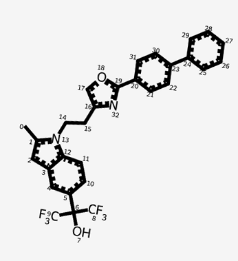 Cc1cc2cc(C(O)(C(F)(F)F)C(F)(F)F)ccc2n1CCc1coc(-c2ccc(-c3ccccc3)cc2)n1